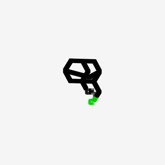 CC12CC3CC(CC(C3)C1CCl)C2